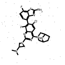 CN(C)C1CN(c2nc(N3CC4CCC(C3)N4)c3cc(Cl)c(-c4ccc(F)c5sc(N)nc45)c(F)c3n2)C1